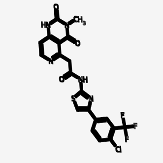 Cn1c(=O)[nH]c2ccnc(CC(=O)Nc3nc(-c4ccc(Cl)c(C(F)(F)F)c4)cs3)c2c1=O